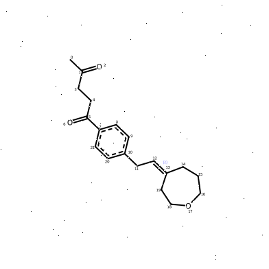 CC(=O)CCC(=O)c1ccc(C/C=C2/CCCOCC2)cc1